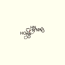 N=C(NCc1ccoc1)N1CCN(C(=O)[C@](O)(c2ccccc2)C2CCCC2)CC1